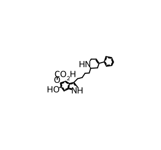 O=C(O)Oc1cc2c(CCCCC3CC(c4ccccc4)=CCN3)c[nH]c2cc1O